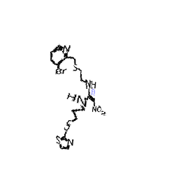 O=[N+]([O-])/C=C(\NCCCSc1nccs1)NCCSCc1ncccc1Br